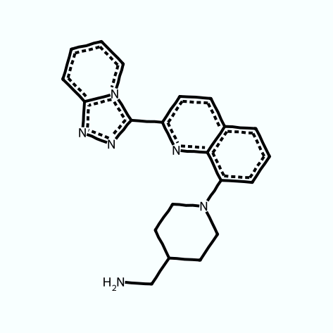 NCC1CCN(c2cccc3ccc(-c4nnc5ccccn45)nc23)CC1